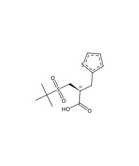 CC(C)(C)S(=O)(=O)C[C@@H](Cc1cccs1)C(=O)O